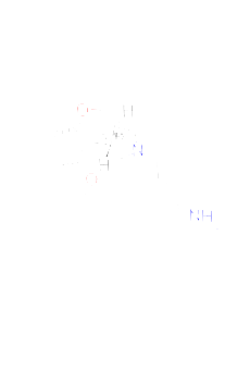 COc1cccc2c1[C@H]1CN(CCCCN)C[C@@H]1CO2